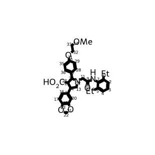 CCc1cccc(CC)c1NC(=O)CN1CC(c2ccc3c(c2)OCO3)C(C(=O)O)C1c1ccc(OCCOC)cc1